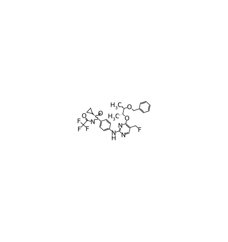 C[C@@H](OCc1ccccc1)[C@@H](C)Oc1nc(Nc2ccc([S@@](=O)(=NC(=O)C(F)(F)F)C3CC3)cc2)ncc1CF